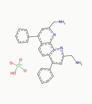 NCc1cc(-c2ccccc2)c2ccc3c(-c4ccccc4)cc(CN)nc3c2n1.[O-][Cl+3]([O-])([O-])O